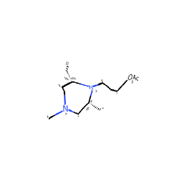 CC(=O)OCCN1[C@H](C)CN(C)C[C@@H]1C